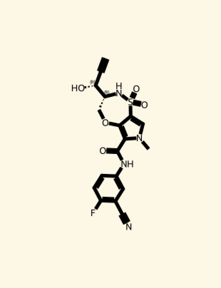 C#C[C@@H](O)[C@H]1COc2c(cn(C)c2C(=O)Nc2ccc(F)c(C#N)c2)S(=O)(=O)N1